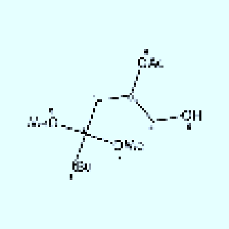 COC(CC(CO)OC(C)=O)(OC)C(C)(C)C